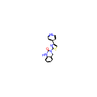 O=C1Nc2ccccc2CN1c1nc(-c2ccncc2)cs1